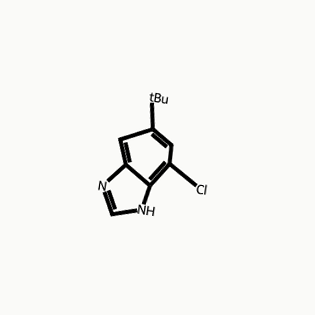 CC(C)(C)c1cc(Cl)c2[nH]cnc2c1